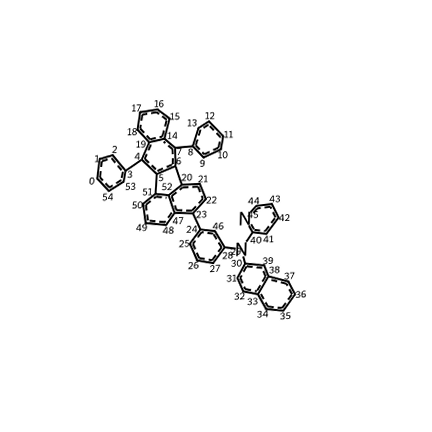 c1ccc(-c2c3c(c(-c4ccccc4)c4ccccc24)-c2ccc(-c4cccc(N(c5ccc6ccccc6c5)c5ccccn5)c4)c4cccc-3c24)cc1